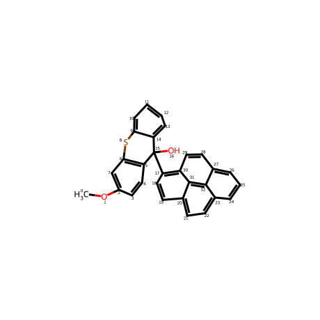 COc1ccc2c(c1)Sc1ccccc1C2(O)c1ccc2ccc3cccc4ccc1c2c34